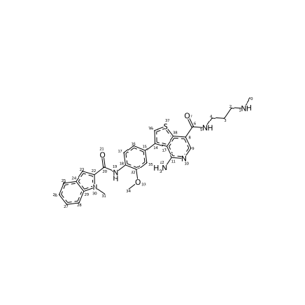 CNCCCNC(=O)c1cnc(N)c2c(-c3ccc(NC(=O)c4cc5ccccc5n4C)c(OC)c3)csc12